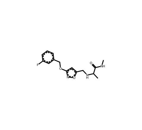 CNC(=O)C(C)NCc1cc(OCc2cccc(F)c2)no1